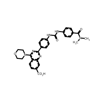 CN(C)C(=O)c1ccc(NC(=O)Nc2ccc(-c3nc(N4CCOCC4)c4ccc(C(=O)O)cc4n3)cc2)cc1